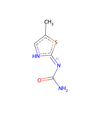 Cc1c[nH]/c(=N\C(N)=O)s1